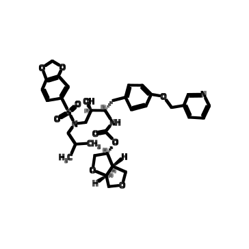 CC(C)CN(C[C@@H](O)[C@H](Cc1ccc(OCc2cccnc2)cc1)NC(=O)O[C@H]1CO[C@H]2COC[C@H]21)S(=O)(=O)c1ccc2c(c1)OCO2